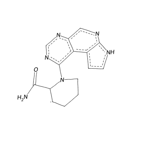 NC(=O)C1[CH]CCCN1c1ncnc2cnc3[nH]ccc3c12